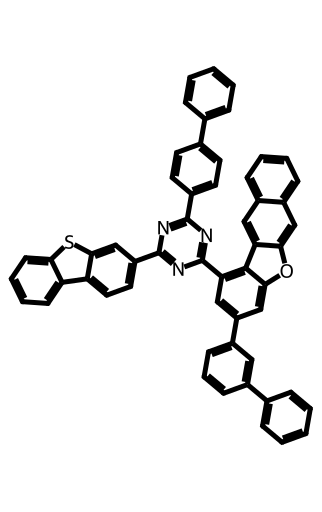 c1ccc(-c2ccc(-c3nc(-c4ccc5c(c4)sc4ccccc45)nc(-c4cc(-c5cccc(-c6ccccc6)c5)cc5oc6cc7ccccc7cc6c45)n3)cc2)cc1